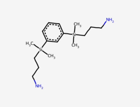 C[Si](C)(CCCN)c1cccc([Si](C)(C)CCCN)c1